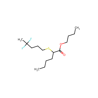 CCCCOC(=O)C(CCCC)SCCCC(C)(F)F